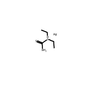 CC[SH](CC)C(N)=S.[Ag]